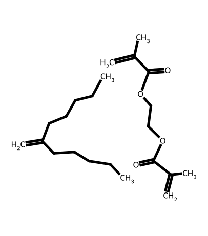 C=C(C)C(=O)OCCOC(=O)C(=C)C.C=C(CCCCC)CCCCC